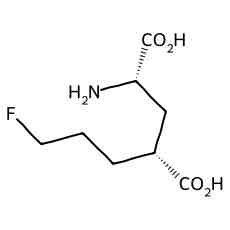 N[C@@H](C[C@@H](CCCF)C(=O)O)C(=O)O